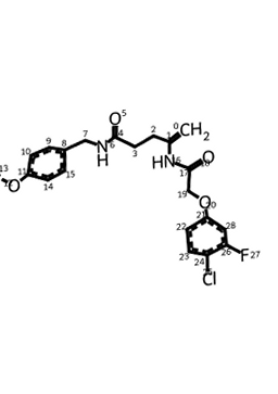 C=C(CCC(=O)NCc1ccc(OC(C)C)cc1)NC(=O)COc1ccc(Cl)c(F)c1